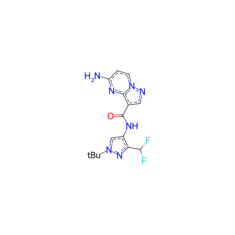 CC(C)(C)n1cc(NC(=O)c2cnn3ccc(N)nc23)c(C(F)F)n1